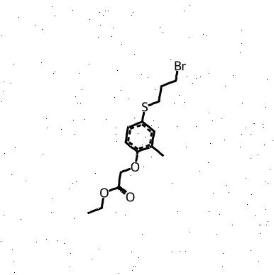 CCOC(=O)COc1ccc(SCCCBr)cc1C